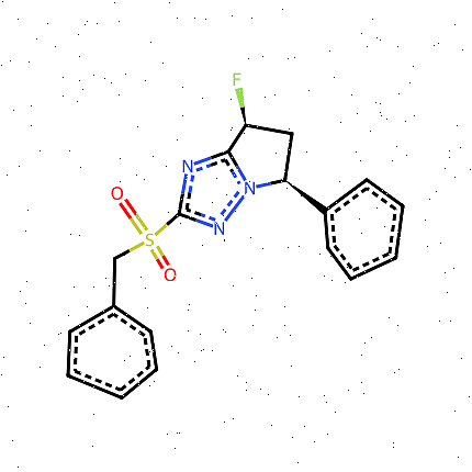 O=S(=O)(Cc1ccccc1)c1nc2n(n1)[C@H](c1ccccc1)C[C@@H]2F